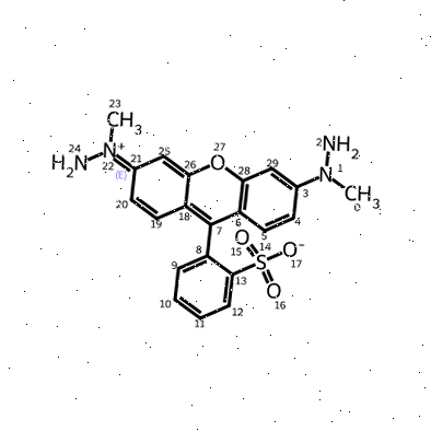 CN(N)c1ccc2c(-c3ccccc3S(=O)(=O)[O-])c3cc/c(=[N+](/C)N)cc-3oc2c1